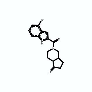 O=C(c1cc2c(Br)cccc2[nH]1)N1CCN2C(=O)CCC2C1